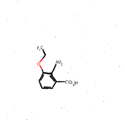 O=C(O)c1cccc(OCC(F)(F)F)c1[N+](=O)[O-]